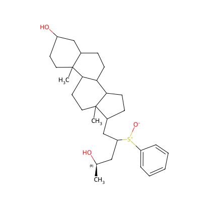 C[C@@H](O)CC(CC1CCC2C3CCC4CC(O)CCC4(C)C3CCC12C)[S+]([O-])c1ccccc1